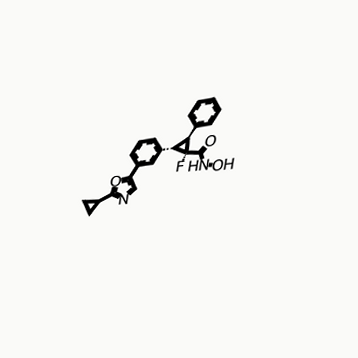 O=C(NO)[C@]1(F)[C@H](c2ccccc2)[C@H]1c1cccc(-c2cnc(C3CC3)o2)c1